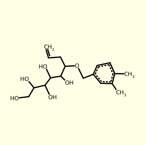 C=CCC(OCc1ccc(C)c(C)c1)C(O)C(O)C(O)C(O)CO